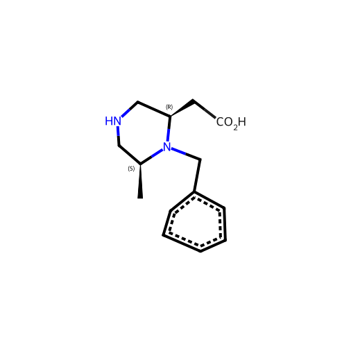 C[C@H]1CNC[C@@H](CC(=O)O)N1Cc1ccccc1